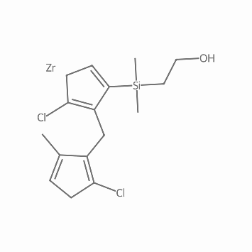 CC1=CCC(Cl)=C1CC1=C(Cl)CC=C1[Si](C)(C)CCO.[Zr]